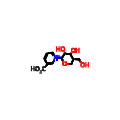 O=C(O)c1ccc[n+]([C@@H]2OC[C@H](CO)[C@H](O)[C@H]2O)c1